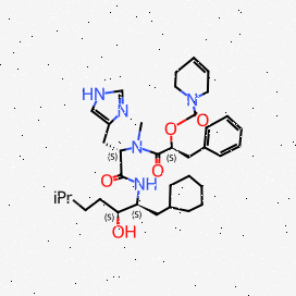 CC(C)CC[C@H](O)[C@H](CC1CCCCC1)NC(=O)[C@H](Cc1c[nH]cn1)N(C)C(=O)[C@H](Cc1ccccc1)OC(=O)N1CC=CCC1